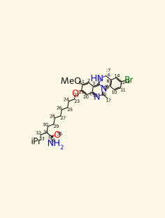 COc1cc2c(N[C@H](C)c3cccc(Br)c3)nc(C)nc2cc1OCCCCCCCCC(CC(C)C)C(N)=O